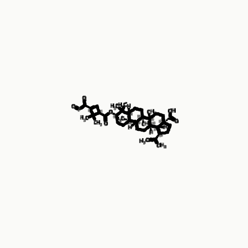 C=C(C)[C@@H]1CC[C@]2(C(=O)O)CC[C@]3(C)[C@H](CC[C@@H]4[C@@]5(C)CC[C@H](OC(=O)[C@@H]6C[C@H](C(=O)P=O)C6(C)C)C(C)(C)[C@@H]5CC[C@]43C)[C@@H]12